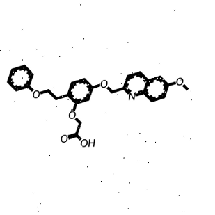 COc1ccc2nc(COc3ccc(CCOc4ccccc4)c(OCC(=O)O)c3)ccc2c1